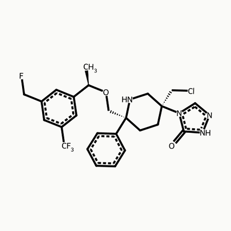 C[C@@H](OC[C@@]1(c2ccccc2)CC[C@](CCl)(n2cn[nH]c2=O)CN1)c1cc(CF)cc(C(F)(F)F)c1